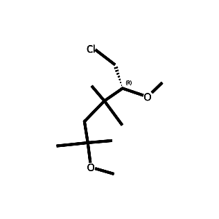 CO[C@@H](CCl)C(C)(C)CC(C)(C)OC